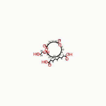 O=C(O)CCCCCCCC(=O)O.O=C1CCCCC(=O)OCCCCCCCCCCO1.OCCO